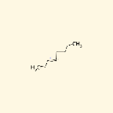 C=C/C=[C]/CCCC